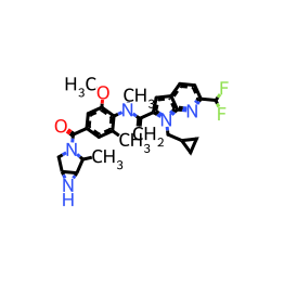 C=C(c1cc2ccc(C(F)F)nc2n1CC1CC1)N(C)c1c(C)cc(C(=O)N2CC3NC3C2C)cc1OC